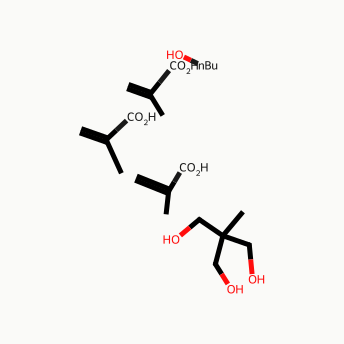 C=C(C)C(=O)O.C=C(C)C(=O)O.C=C(C)C(=O)O.CC(CO)(CO)CO.CCCCO